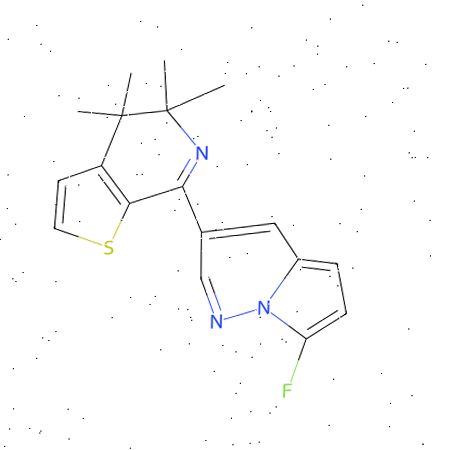 CC1(C)N=C(c2cnn3c(F)ccc3c2)c2sccc2C1(C)C